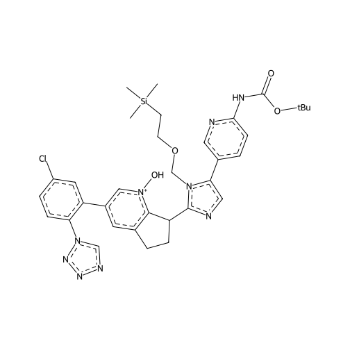 CC(C)(C)OC(=O)Nc1ccc(-c2cnc(C3CCc4cc(-c5cc(Cl)ccc5-n5cnnn5)c[n+](O)c43)n2COCC[Si](C)(C)C)cn1